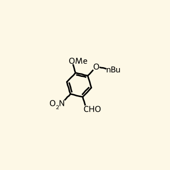 CCCCOc1cc(C=O)c([N+](=O)[O-])cc1OC